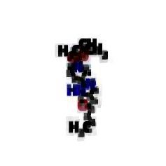 CCCCC(=O)CC1=CNC(C2CCCN(C(=O)OC(C)(C)C)CC2)N=C1